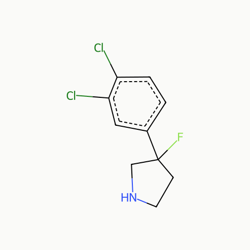 FC1(c2ccc(Cl)c(Cl)c2)CCNC1